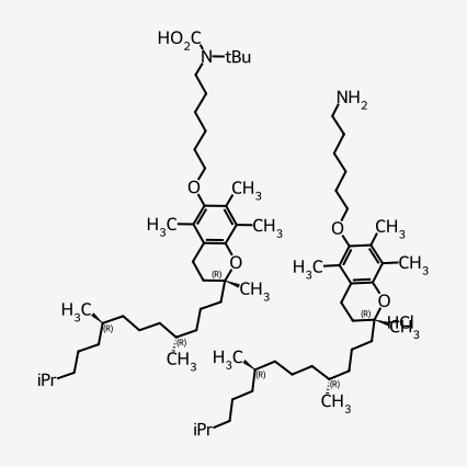 Cc1c(C)c2c(c(C)c1OCCCCCCN(C(=O)O)C(C)(C)C)CC[C@@](C)(CCC[C@H](C)CCC[C@H](C)CCCC(C)C)O2.Cc1c(C)c2c(c(C)c1OCCCCCCN)CC[C@@](C)(CCC[C@H](C)CCC[C@H](C)CCCC(C)C)O2.Cl